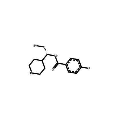 CC(C)C[C@H](NC(=O)c1ccc(F)cc1)C1CCNCC1